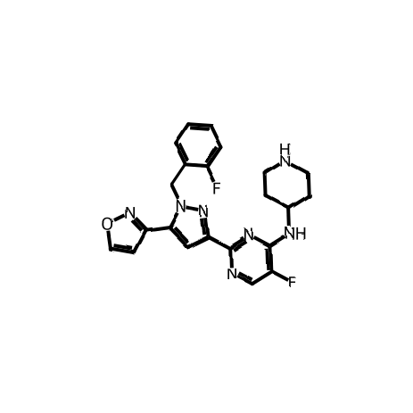 Fc1ccccc1Cn1nc(-c2ncc(F)c(NC3CCNCC3)n2)cc1-c1ccon1